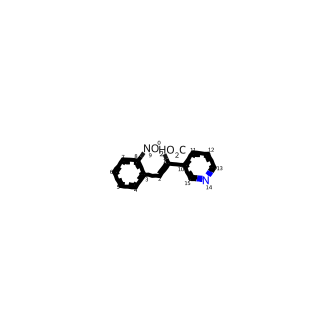 O=C(O)C(=Cc1ccccc1[N+](=O)[O-])c1cccnc1